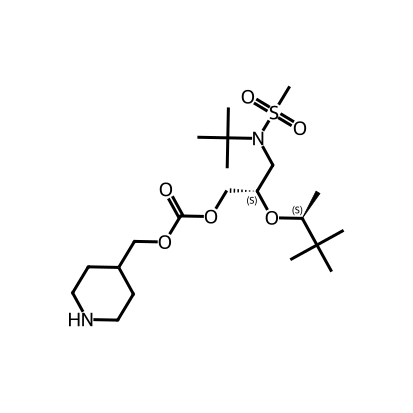 C[C@H](O[C@H](COC(=O)OCC1CCNCC1)CN(C(C)(C)C)S(C)(=O)=O)C(C)(C)C